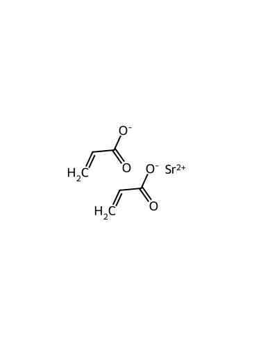 C=CC(=O)[O-].C=CC(=O)[O-].[Sr+2]